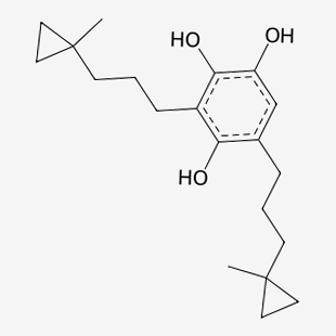 CC1(CCCc2cc(O)c(O)c(CCCC3(C)CC3)c2O)CC1